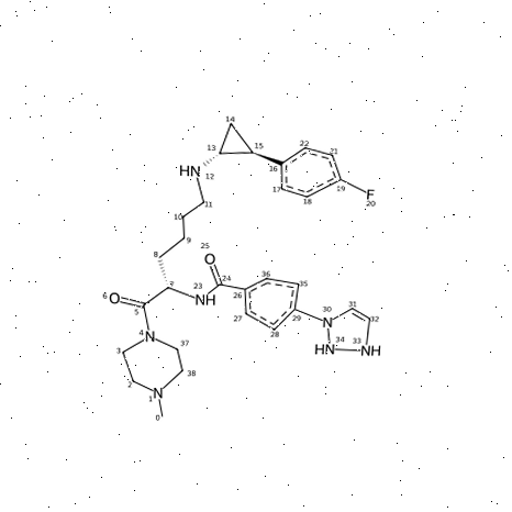 CN1CCN(C(=O)[C@H](CCCCN[C@@H]2C[C@H]2c2ccc(F)cc2)NC(=O)c2ccc(N3C=CNN3)cc2)CC1